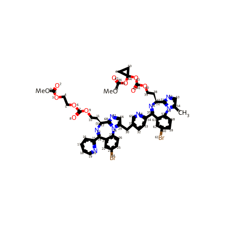 COC(=O)OCCOC(=O)OCC[C@@H]1N=C(c2ccccn2)c2cc(Br)ccc2-n2c(Cc3ccc(C4=N[C@@H](CCOC(=O)OC5(OC(=O)OC)CC5)c5ncc(C)n5-c5ccc(Br)cc54)nc3)cnc21